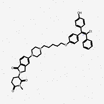 CC/C(=C(\c1ccc(O)cc1)c1ccc(OCCCCCN2CCN(c3ccc4c(c3)CN(C3CCC(=O)N(C)C3=O)C4=O)CC2)cc1)c1ccccc1